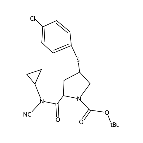 CC(C)(C)OC(=O)N1CC(Sc2ccc(Cl)cc2)CC1C(=O)N(C#N)C1CC1